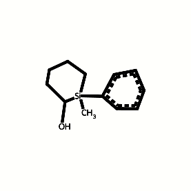 C[Si]1(c2ccccc2)CCCCC1O